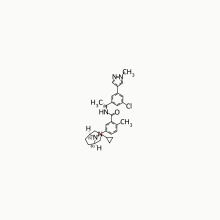 Cc1ccc(N2C[C@H]3CC[C@@H](C2)N3CC2CC2)cc1C(=O)N[C@H](C)c1cc(Cl)cc(-c2cnn(C)c2)c1